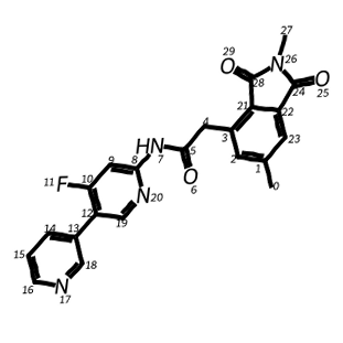 Cc1cc(CC(=O)Nc2cc(F)c(-c3cccnc3)cn2)c2c(c1)C(=O)N(C)C2=O